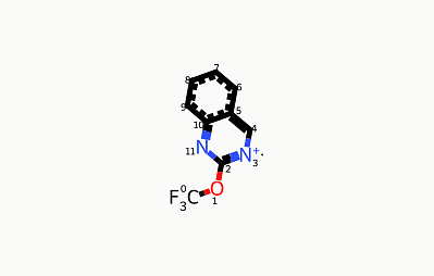 FC(F)(F)OC1=[N+]C=c2ccccc2=N1